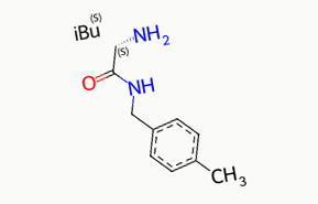 CC[C@H](C)[C@H](N)C(=O)NCc1ccc(C)cc1